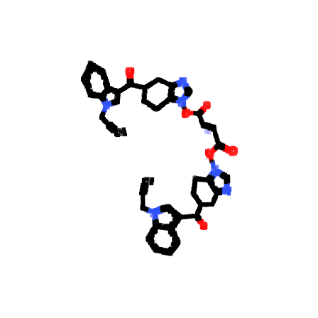 C#CCn1cc(C(=O)C2CCc3c(ncn3OC(=O)/C=C/C(=O)On3cnc4c3CCC(C(=O)c3cn(CC#C)c5ccccc35)C4)C2)c2ccccc21